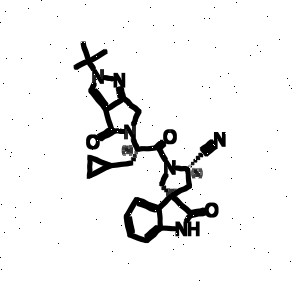 CC(C)(C)n1cc2c(n1)CN([C@@H](CC1CC1)C(=O)N1C[C@]3(C[C@H]1C#N)C(=O)Nc1ccccc13)C2=O